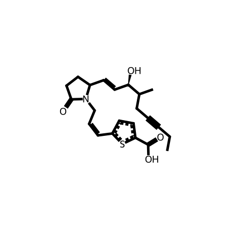 CCC#CCC(C)[C@H](O)/C=C/C1CCC(=O)N1C/C=C\c1ccc(C(=O)O)s1